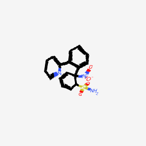 NS(=O)(=O)C1C=CC=CC1(c1ccccc1-c1ccccn1)[N+](=O)[O-]